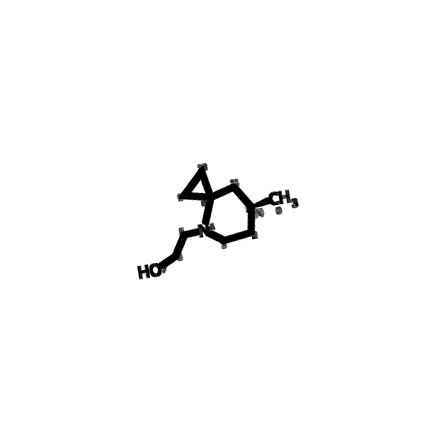 C[C@H]1CCN(CCO)C2(CC2)C1